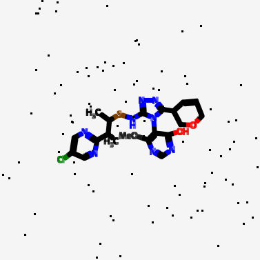 COc1ncnc(O)c1-n1c(NSC(C)C(C)c2ncc(Cl)cn2)nnc1C1C=CCOC1